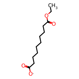 CCOC(=O)CCCCCCCCC([O])=O